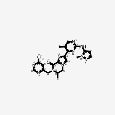 Cc1cnc(Nc2ccnn2C)nc1-c1cn2c(n1)C(=O)N(Cc1cc(C(F)(F)F)ncn1)C(C)C2